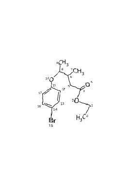 CCOC(=O)CC(C)C(C)Oc1ccc(Br)cc1